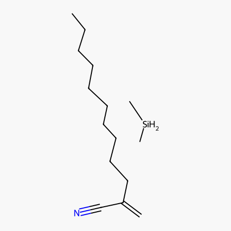 C=C(C#N)CCCCCCCCCC.C[SiH2]C